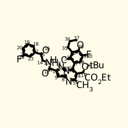 CCOC(=O)[C@@H](OC(C)(C)C)c1c(C)nc2cc(C(=O)NCC(=O)c3cccc(F)c3)nn2c1-c1cc(F)c2c(c1C)CCCO2